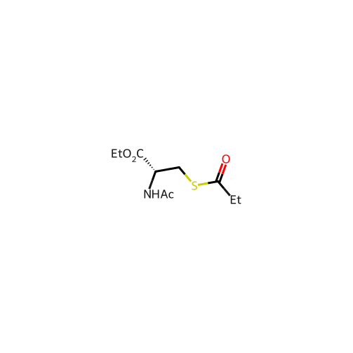 CCOC(=O)[C@H](CSC(=O)CC)NC(C)=O